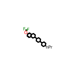 CCCC1CCC(C2CCC(C3CCc4cc(OC(F)F)ccc4C3)CC2)CC1